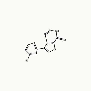 CCc1cccc(-c2nsc3c(=O)[nH]nnc23)c1